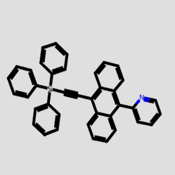 C(#C[Si](c1ccccc1)(c1ccccc1)c1ccccc1)c1c2ccccc2c(-c2ccccn2)c2ccccc12